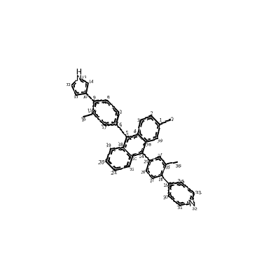 Cc1ccc2c(-c3ccc(-c4cc[nH]c4)c(C)c3)c3ccccc3c(-c3ccc(-c4ccncc4)c(C)c3)c2c1